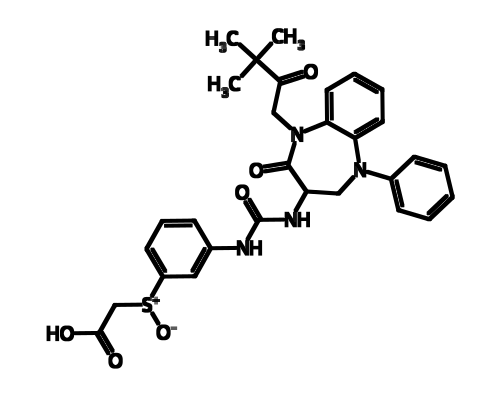 CC(C)(C)C(=O)CN1C(=O)C(NC(=O)Nc2cccc([S+]([O-])CC(=O)O)c2)CN(c2ccccc2)c2ccccc21